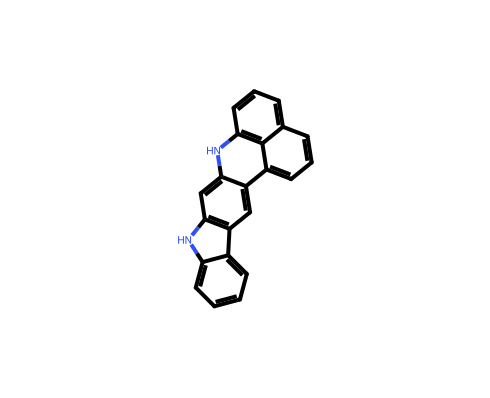 c1cc2c3c(cccc3c1)-c1cc3c(cc1N2)[nH]c1ccccc13